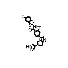 O=C(Nc1nc2ccc(F)cc2s1)c1ccc(-c2cnc3ccc(-c4cn[nH]c4)cn23)cc1F